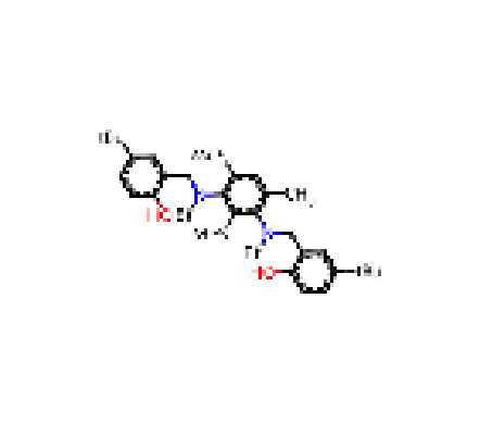 CCN(Cc1cc(C(C)(C)C)ccc1O)c1c(C)cc(SC)c(N(CC)Cc2cc(C(C)(C)C)ccc2O)c1SC